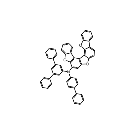 c1ccc(-c2ccc(N(c3cc(-c4ccccc4)cc(-c4ccccc4)c3)c3cc4oc5ccc6c7ccccc7oc6c5c4c4c3oc3ccccc34)cc2)cc1